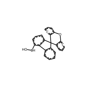 OBc1cccc2c1-c1ccccc1C21c2ccccc2Oc2ccccc21